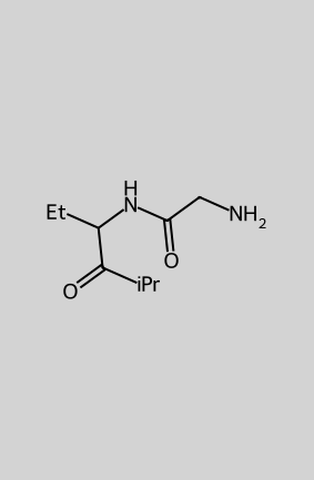 CCC(NC(=O)CN)C(=O)C(C)C